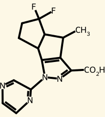 CC1c2c(C(=O)O)nn(-c3cnccn3)c2C2CCC(F)(F)C12